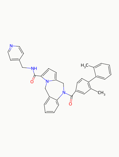 Cc1ccccc1-c1ccc(C(=O)N2Cc3ccc(C(=O)NCc4ccncc4)n3Cc3ccccc32)cc1C